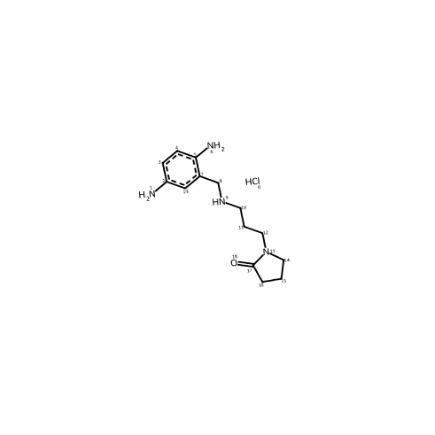 Cl.Nc1ccc(N)c(CNCCCN2CCCC2=O)c1